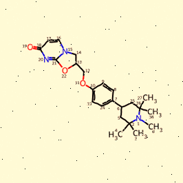 CN1C(C)(C)CC(c2ccc(OCC3Cn4ccc(=O)nc4O3)cc2)CC1(C)C